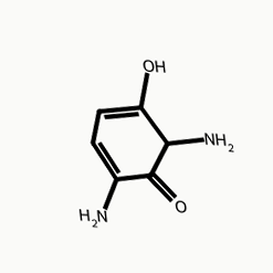 NC1=CC=C(O)C(N)C1=O